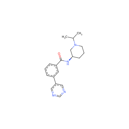 CC(C)N1CCC[C@@H](NC(=O)c2cccc(-c3cncnc3)c2)C1